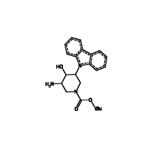 CC(C)(C)OC(=O)N1CC(N)C(O)C(n2c3ccccc3c3ccccc32)C1